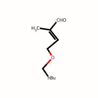 CCCCCOCC=C(C)C=O